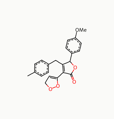 COc1ccc(C2OC(=O)C(C3=CCOO3)=C2Cc2ccc(C)cc2)cc1